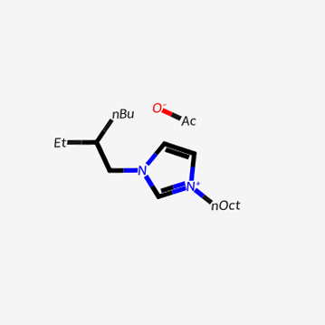 CC(=O)[O-].CCCCCCCC[n+]1ccn(CC(CC)CCCC)c1